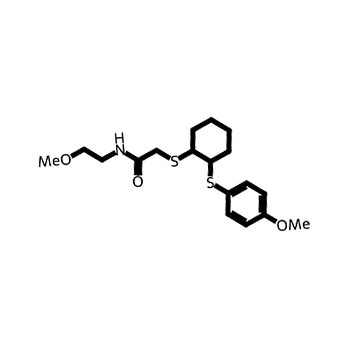 COCCNC(=O)CSC1CCCCC1Sc1ccc(OC)cc1